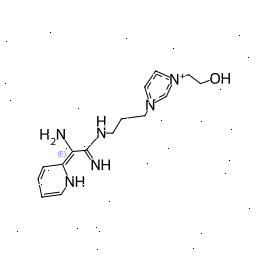 N=C(NCCCn1cc[n+](CCO)c1)/C(N)=C1/C=CC=CN1